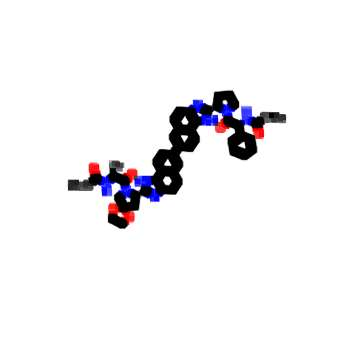 COC(=O)N[C@H](C(=O)N1CC2(C[C@H]1C1=NC3CCc4cc(-c5ccc6c(ccc7nc([C@@H]8CCCN8C(=O)[C@H](NC(=O)OC)c8ccccc8)[nH]c76)c5)ccc4C3N1)OCCO2)C(C)C